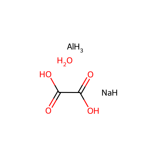 O.O=C(O)C(=O)O.[AlH3].[NaH]